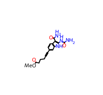 COC(=O)CCCC#Cc1ccc2c(C(N)=O)c(NC(N)=O)[nH]c2c1